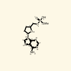 CSP(=O)(O)OCC1CC[C@H](n2cnc3c(N)ncnc32)O1